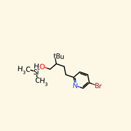 C[SiH](C)OCC(CCc1ccc(Br)cn1)C(C)(C)C